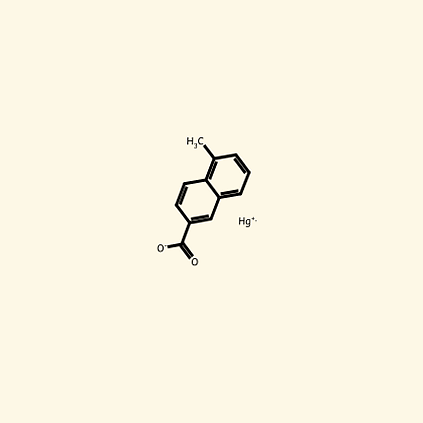 Cc1cccc2cc(C(=O)[O-])ccc12.[Hg+]